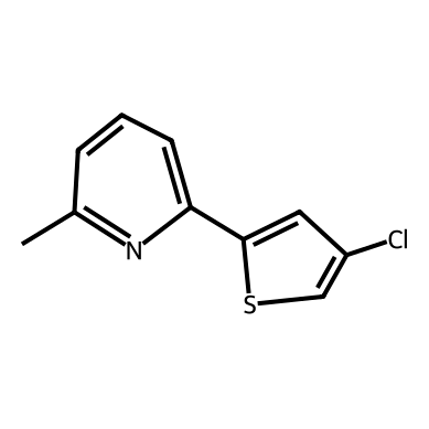 Cc1cccc(-c2cc(Cl)cs2)n1